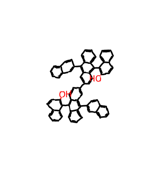 Oc1ccc2ccccc2c1-c1c2ccccc2c(-c2ccc3ccccc3c2)c2cc(-c3ccc4c(-c5c(O)ccc6ccccc56)c5ccccc5c(-c5ccc6ccccc6c5)c4c3)ccc12